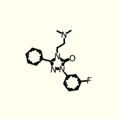 CN(C)CCn1c(-c2ccccc2)nn(-c2cccc(F)c2)c1=O